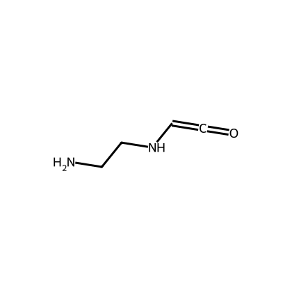 NCCNC=C=O